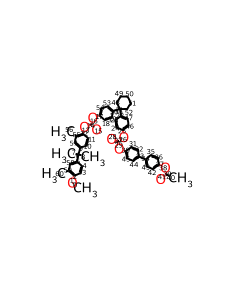 COc1ccc(C(C)(C)c2ccc(OC(=O)Oc3ccc(C4(c5ccc(OC(=O)Oc6ccc(-c7ccc(OC(C)=O)cc7)cc6)cc5)CCCCC4)cc3)c(C)c2)cc1C